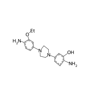 CCOc1cc(N2CCN(c3ccc(N)c(O)c3)CC2)ccc1N